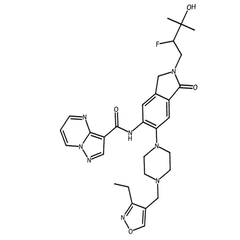 CCc1nocc1CN1CCN(c2cc3c(cc2NC(=O)c2cnn4cccnc24)CN(CC(F)C(C)(C)O)C3=O)CC1